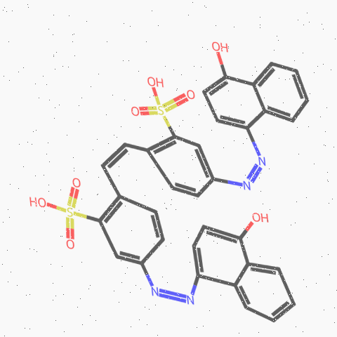 O=S(=O)(O)c1cc(/N=N\c2ccc(O)c3ccccc23)ccc1/C=C\c1ccc(/N=N\c2ccc(O)c3ccccc23)cc1S(=O)(=O)O